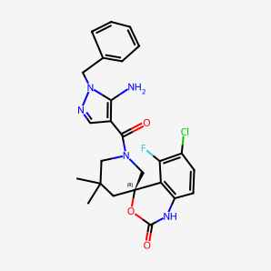 CC1(C)CN(C(=O)c2cnn(Cc3ccccc3)c2N)C[C@]2(C1)OC(=O)Nc1ccc(Cl)c(F)c12